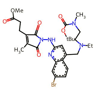 CCN(CCN(C)C(=O)OC(C)(C)C)Cc1cc(NN2C(=O)C(C)=C(CCC(=O)OC)C2=O)nc2cc(Br)ccc12